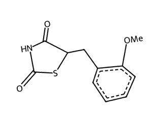 COc1ccccc1CC1SC(=O)NC1=O